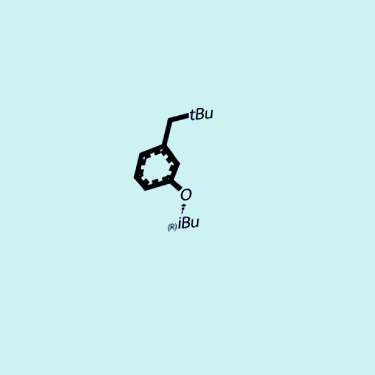 CC[C@@H](C)Oc1cccc(CC(C)(C)C)c1